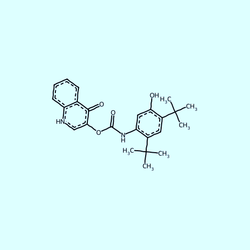 CC(C)(C)c1cc(C(C)(C)C)c(NC(=O)Oc2c[nH]c3ccccc3c2=O)cc1O